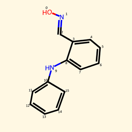 ON=Cc1ccccc1Nc1ccccc1